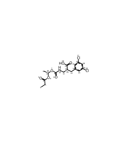 CCC(=O)O[C@@H](C)OC(=O)NC[C@H](Cc1cc(Cl)cc(Cl)c1)C(=O)O